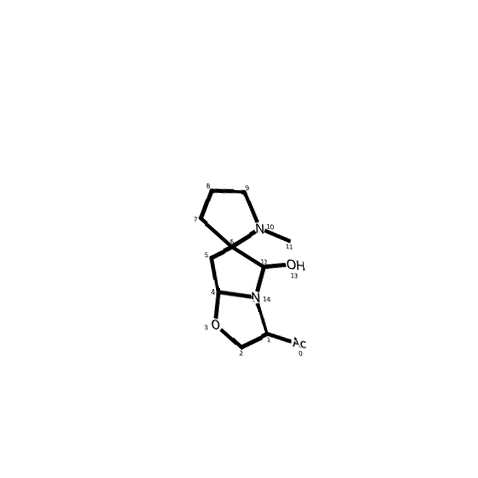 CC(=O)C1COC2CC3(CCCN3C)C(O)N21